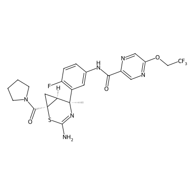 C[C@]1(c2cc(NC(=O)c3cnc(OCC(F)(F)F)cn3)ccc2F)N=C(N)S[C@@]2(C(=O)N3CCCC3)C[C@H]21